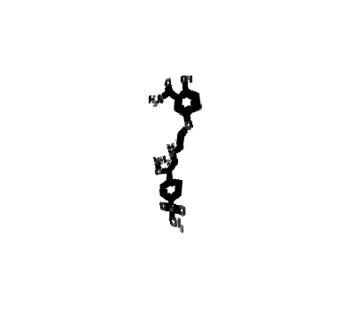 CS(=O)(=O)c1ccc(C(CNCCOc2ccc(O)c(C(N)=O)c2)ON)cc1